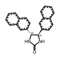 O=C1N[C@H](c2ccc3ccccc3c2)[C@@H](c2ccc3ccccc3c2)N1